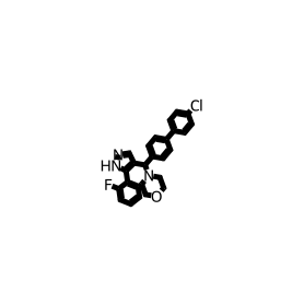 Fc1ccccc1-c1[nH]ncc1C(c1ccc(-c2ccc(Cl)cc2)cc1)N1CCOCC1